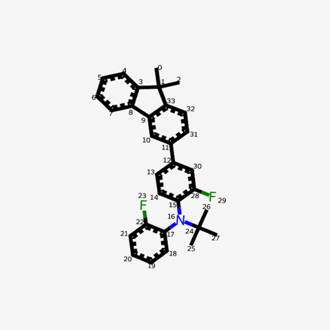 CC1(C)c2ccccc2-c2cc(-c3ccc(N(c4ccccc4F)C(C)(C)C)c(F)c3)ccc21